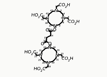 O=C(O)CN1CCN(CC(=O)O)CCN(OC(=O)CCC(=O)ON2CCN(CC(=O)O)CCN(CC(=O)O)CCN(CC(=O)O)CC2)CCN(CC(=O)O)CC1